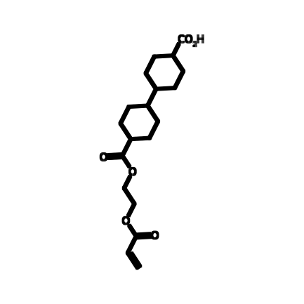 C=CC(=O)OCCOC(=O)C1CCC(C2CCC(C(=O)O)CC2)CC1